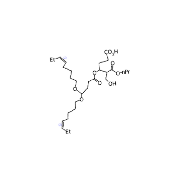 CC/C=C\CCCCOC(CCC(=O)OC(CCC(=O)O)C(CO)C(=O)OCCC)OCCCC/C=C\CC